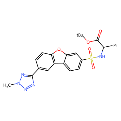 CC(C)C(NS(=O)(=O)c1ccc2c(c1)oc1ccc(-c3nnn(C)n3)cc12)C(=O)OC(C)(C)C